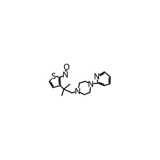 CC(C)(CN1CCN(c2ccccn2)CC1)c1ccsc1N=O